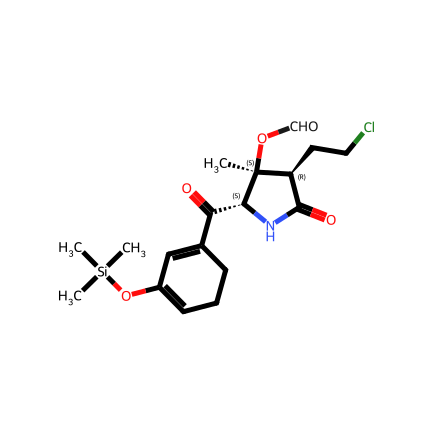 C[C@@]1(OC=O)[C@@H](C(=O)C2=CC(O[Si](C)(C)C)=CCC2)NC(=O)[C@@H]1CCCl